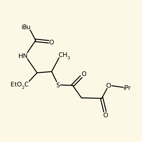 CCOC(=O)C(NC(=O)C(C)CC)C(C)SC(=O)CC(=O)OC(C)C